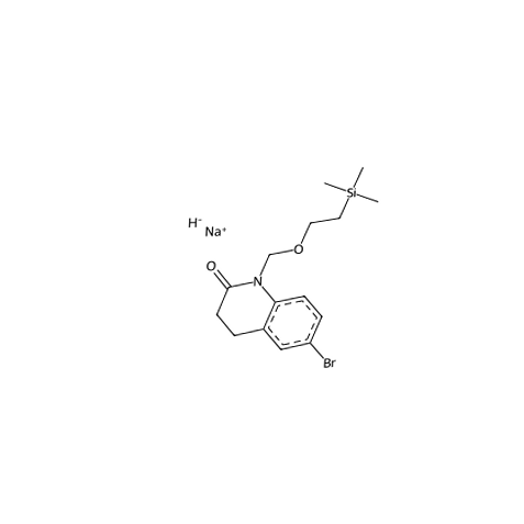 C[Si](C)(C)CCOCN1C(=O)CCc2cc(Br)ccc21.[H-].[Na+]